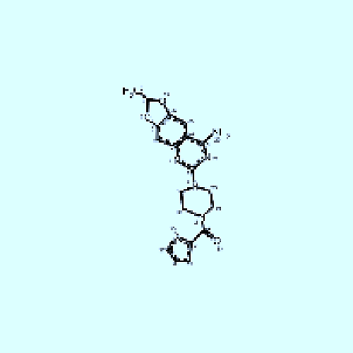 CC1Oc2cc3nc(N4CCN(C(=O)c5ccco5)CC4)nc(N)c3cc2O1